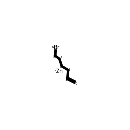 C=CCCCCBr.[Zn]